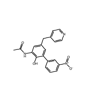 CC(=O)Nc1cc(Cc2ccncc2)cc(-c2cccc([N+](=O)[O-])c2)c1O